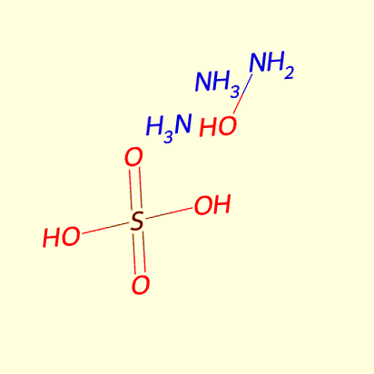 N.N.NO.O=S(=O)(O)O